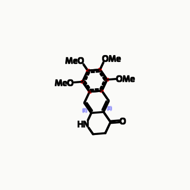 COc1ccc(/C=C2/NCCC(=O)/C2=C/c2ccc(OC)c(OC)c2)cc1OC